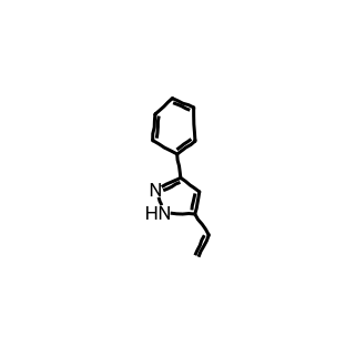 C=Cc1cc(-c2ccccc2)n[nH]1